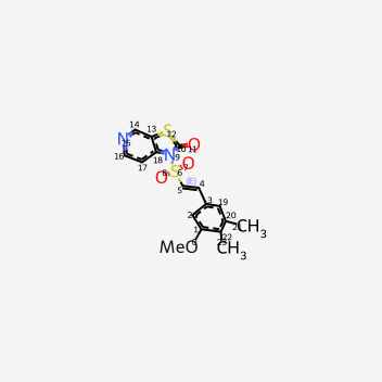 COc1cc(/C=C/S(=O)(=O)n2c(=O)sc3cnccc32)cc(C)c1C